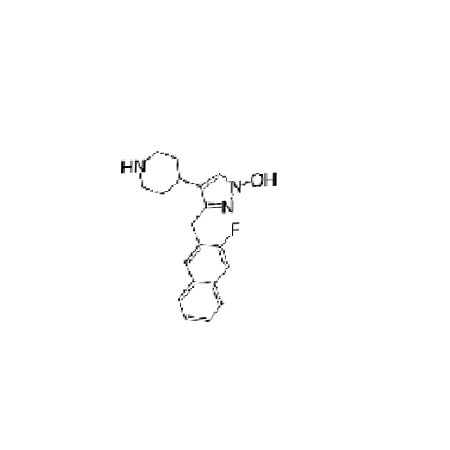 On1cc(C2CCNCC2)c(Cc2cc3ccccc3cc2F)n1